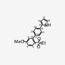 CCS(=O)(=O)c1ccc(OC)cc1-c1ccc(-c2ccc[nH]2)cc1